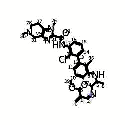 C=C(/C=N\CC(C)Nc1cccc(-c2cccc(NC(=O)c3nc4c(n3C)CCN(C)C4)c2Cl)c1C)C(=O)OC